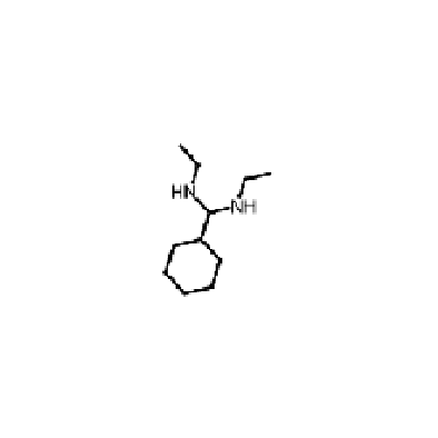 CCN[C](NCC)C1CCCCC1